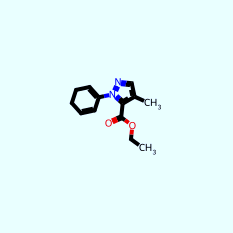 CCOC(=O)c1c(C)cnn1C1=CCCC=C1